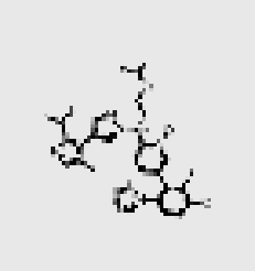 [O-][n+]1cc(-c2c(-n3cnnn3)ccc(Cl)c2F)ccc1[C@@H](CCOC(F)F)n1cc(-c2c(F)nnn2C(F)F)cn1